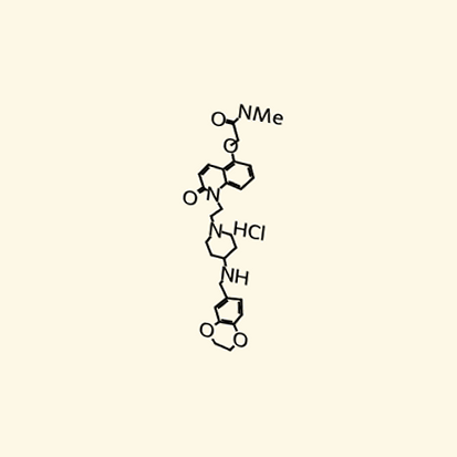 CNC(=O)COc1cccc2c1ccc(=O)n2CCN1CCC(NCc2ccc3c(c2)OCCO3)CC1.Cl